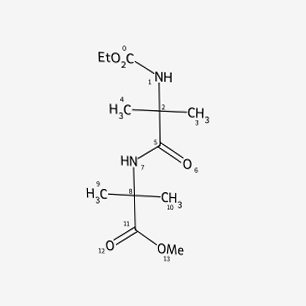 CCOC(=O)NC(C)(C)C(=O)NC(C)(C)C(=O)OC